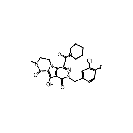 CN1CCn2c(c(O)c3c(=O)n(Cc4ccc(F)c(Cl)c4)nc(C(=O)N4CCCCC4)c32)C1=O